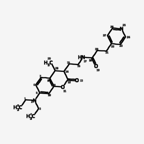 CCN(CC)c1ccc2c(c1)OC(=O)C(CCNC(=O)CCc1ccncc1)C2C